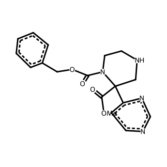 COC(=O)C1(c2ccncn2)CNCCN1C(=O)OCc1ccccc1